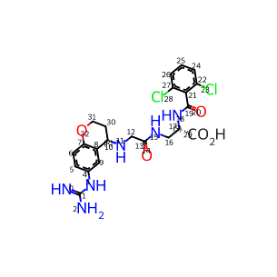 N=C(N)Nc1ccc2c(c1)[C@H](NCC(=O)NC[C@H](NC(=O)c1c(Cl)cccc1Cl)C(=O)O)CCO2